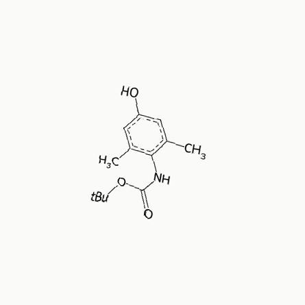 Cc1cc(O)cc(C)c1NC(=O)OC(C)(C)C